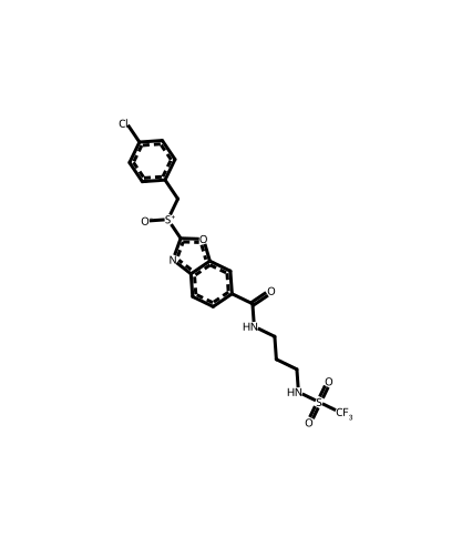 O=C(NCCCNS(=O)(=O)C(F)(F)F)c1ccc2nc([S+]([O-])Cc3ccc(Cl)cc3)oc2c1